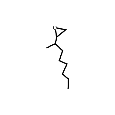 CCCCCCC(C)C1CO1